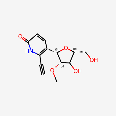 C#Cc1[nH]c(=O)ccc1[C@@H]1O[C@H](CO)C(O)[C@@H]1OC